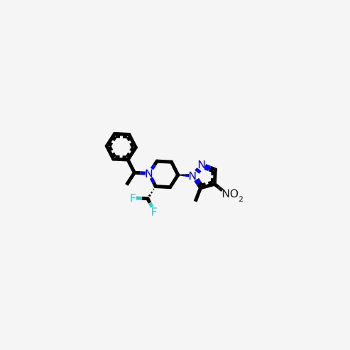 Cc1c([N+](=O)[O-])cnn1[C@@H]1CCN(C(C)c2ccccc2)[C@@H](C(F)F)C1